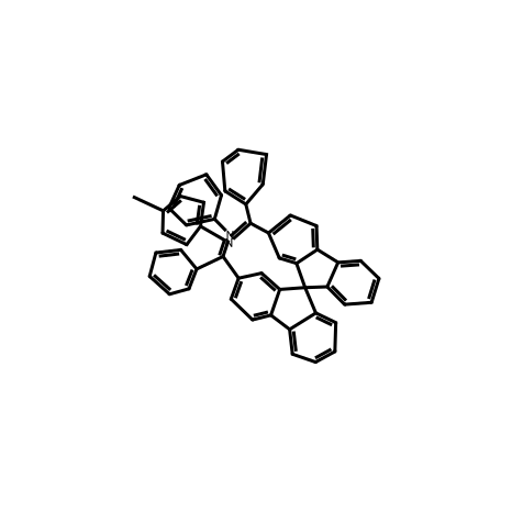 Cc1ccc(/N=C(\c2ccccc2)c2ccc3c(c2)C2(c4ccccc4-c4ccc(/C(=N/c5ccccc5)c5ccccc5)cc42)c2ccccc2-3)cc1